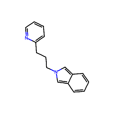 c1ccc(CCCn2cc3ccccc3c2)nc1